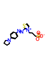 O=S(=O)([O-])CCC[n+]1ccsc1/N=N/c1ccc(N2CCCC2)cc1